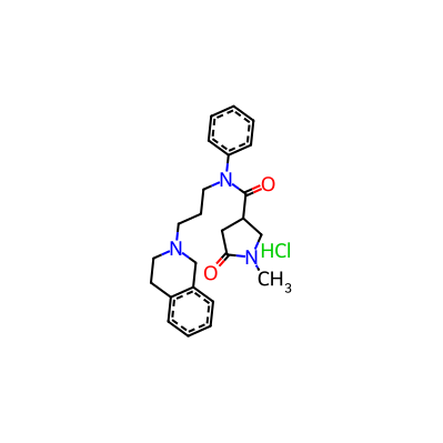 CN1CC(C(=O)N(CCCN2CCc3ccccc3C2)c2ccccc2)CC1=O.Cl